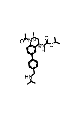 CC(=O)N1c2ccc(-c3ccc(CNC(C)C)cc3)cc2[C@H](NC(=O)OC(C)C)C[C@@H]1C